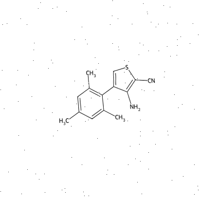 Cc1cc(C)c(-c2csc(C#N)c2N)c(C)c1